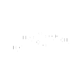 C=CCOOCC=C.O=C(O)OC(=O)O